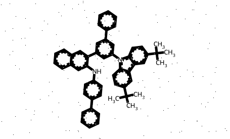 CC(C)(C)c1ccc2c(c1)c1cc(C(C)(C)C)ccc1n2-c1cc(-c2ccccc2)cc(-c2cc3ccccc3cc2Nc2ccc(-c3ccccc3)cc2)c1